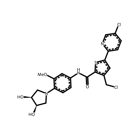 COc1cc(NC(=O)c2sc(-c3ccc(Cl)cn3)cc2CCl)ccc1N1C[C@@H](O)[C@@H](O)C1